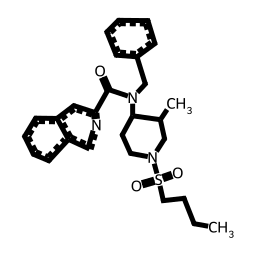 CCCCS(=O)(=O)N1CCC(N(Cc2ccccc2)C(=O)c2cc3ccccc3cn2)C(C)C1